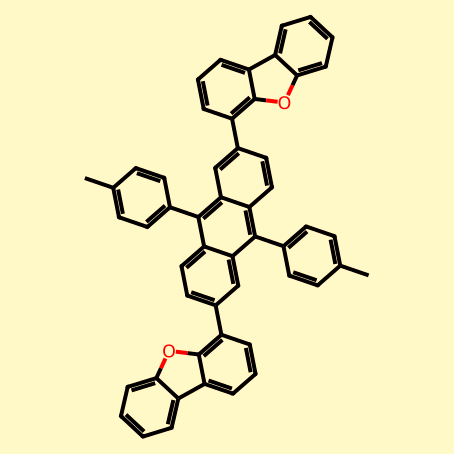 Cc1ccc(-c2c3ccc(-c4cccc5c4oc4ccccc45)cc3c(-c3ccc(C)cc3)c3ccc(-c4cccc5c4oc4ccccc45)cc23)cc1